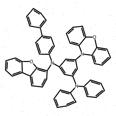 c1ccc(-c2ccc(N(c3cc(N(c4ccccc4)c4ccccc4)cc(N4c5ccccc5Oc5ccccc54)c3)c3cccc4c3oc3ccccc34)cc2)cc1